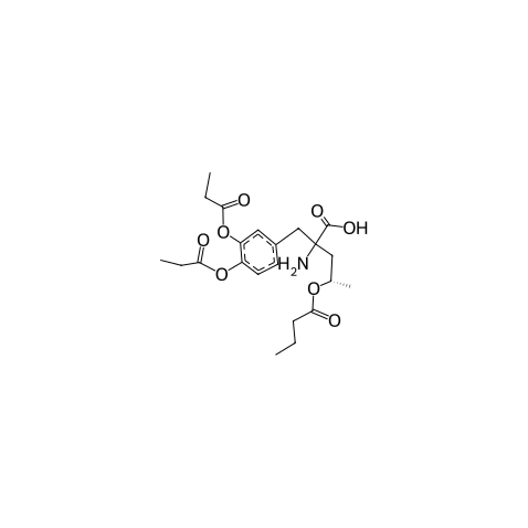 CCCC(=O)O[C@@H](C)CC(N)(Cc1ccc(OC(=O)CC)c(OC(=O)CC)c1)C(=O)O